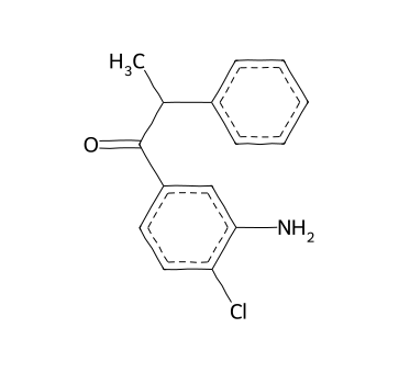 CC(C(=O)c1ccc(Cl)c(N)c1)c1ccccc1